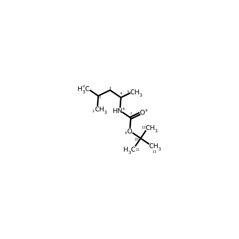 CC(C)CC(C)NC(=O)OC(C)(C)C